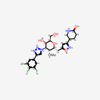 CO[C@@H]1[C@@H](n2cc(-c3cc(F)c(F)c(F)c3)nn2)[C@@H](O)[C@@H](CO)O[C@@H]1Cc1cc(C2CCC(=O)NC2)no1